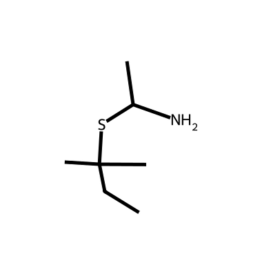 CCC(C)(C)SC(C)N